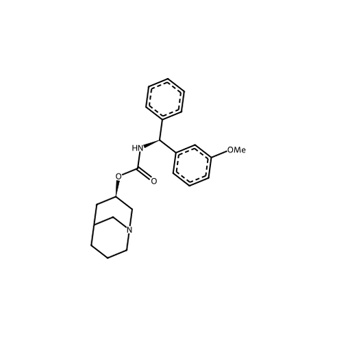 COc1cccc([C@@H](NC(=O)O[C@@H]2CC3CCCN(C3)C2)c2ccccc2)c1